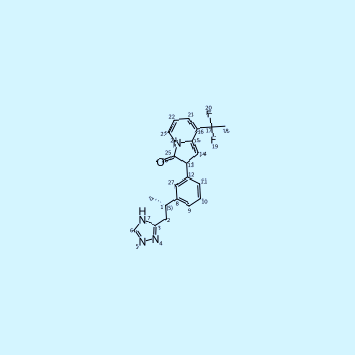 C[C@@H](Cc1nnc[nH]1)c1cccc(C2C=C3C(C(C)(F)F)=CC=CN3C2=O)c1